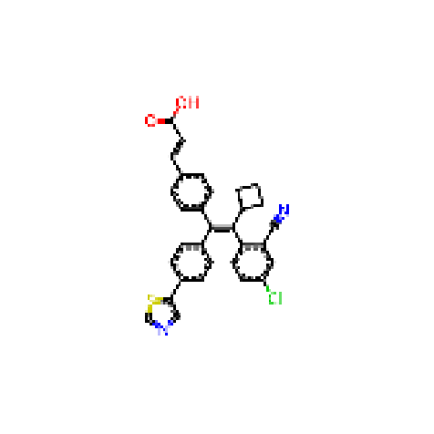 N#Cc1cc(Cl)ccc1C(=C(c1ccc(C=CC(=O)O)cc1)c1ccc(-c2cncs2)cc1)C1CCC1